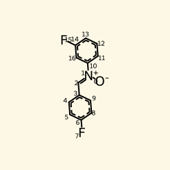 [O-][N+](=Cc1ccc(F)cc1)c1cccc(F)c1